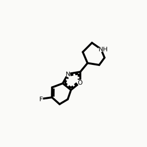 FC1=Cc2nc(C3CCNCC3)oc2CC1